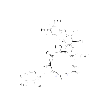 CC[C@H]1OC(=O)C[C@@H](O)[C@H](C)[C@@H](O[C@@H]2O[C@H](C)[C@@H](O[C@H]3CC(C)(O)[C@@H](O)[C@@H](C)O3)C(N(C)C)C2O)[C@@H](CC=O)C[C@@H](C)C(=O)/C=C/C(C)=C/[C@@H]1CCO[C@@H]1OC(C)[C@@H](O)[C@H](OC)C1OC